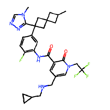 CC1CC2(C1)CC(c1ccc(F)c(NC(=O)c3cc(CNCC4CC4)cn(CC(F)(F)F)c3=O)c1)(c1nncn1C)C2